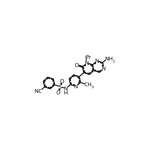 Cc1nc(NS(=O)(=O)c2cccc(C#N)c2)ccc1-c1cc2cnc(N)nc2n(C(C)C)c1=O